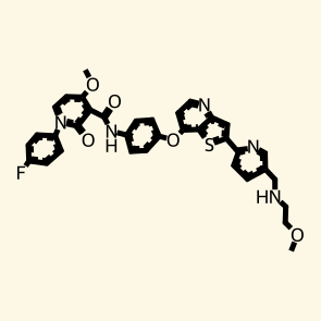 COCCNCc1ccc(-c2cc3nccc(Oc4ccc(NC(=O)c5c(OC)ccn(-c6ccc(F)cc6)c5=O)cc4)c3s2)nc1